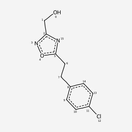 OCc1noc(CCc2ccc(Cl)cc2)n1